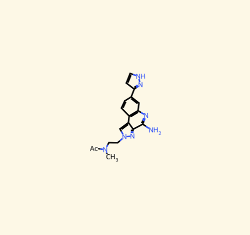 CC(=O)N(C)CCn1cc2c(n1)c(N)nc1cc(-c3cc[nH]n3)ccc12